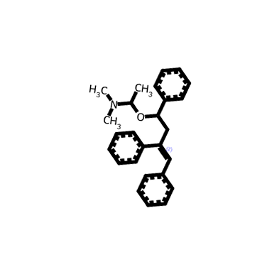 CC(OC(C/C(=C/c1ccccc1)c1ccccc1)c1ccccc1)N(C)C